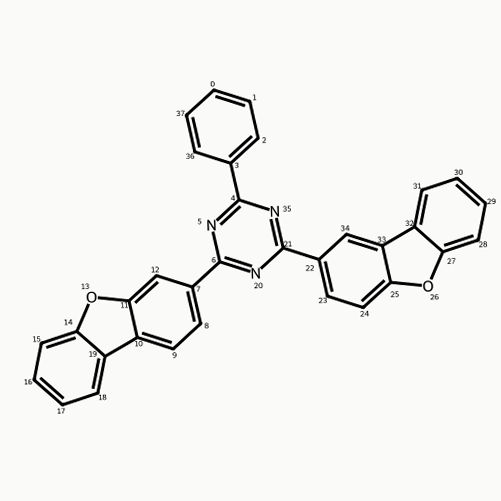 c1ccc(-c2nc(-c3ccc4c(c3)oc3ccccc34)nc(-c3ccc4oc5ccccc5c4c3)n2)cc1